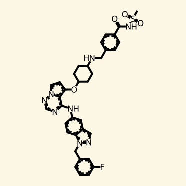 CS(=O)(=O)NC(=O)c1ccc(CNC2CCC(Oc3ccn4ncnc(Nc5ccc6c(cnn6Cc6cccc(F)c6)c5)c34)CC2)cc1